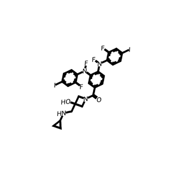 O=C(c1ccc(N(F)c2ccc(I)cc2F)c(N(F)c2ccc(I)cc2F)c1)N1CC(O)(CNC2CC2)C1